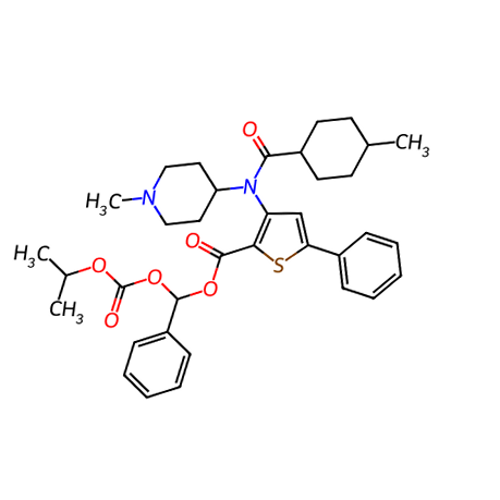 CC1CCC(C(=O)N(c2cc(-c3ccccc3)sc2C(=O)OC(OC(=O)OC(C)C)c2ccccc2)C2CCN(C)CC2)CC1